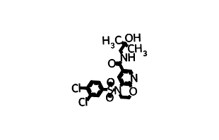 CC(C)(O)CNC(=O)c1cnc2c(c1)N(S(=O)(=O)c1ccc(Cl)c(Cl)c1)CCO2